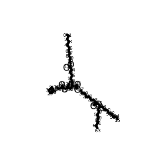 CCCCCCCCCCCOC(=O)CCCCCN1CC(OC(=O)CCN2CCCC2)C[C@H]1C(=O)OCCCCCCCC(=O)OC(CCCCCCCC)CCCCCCCC